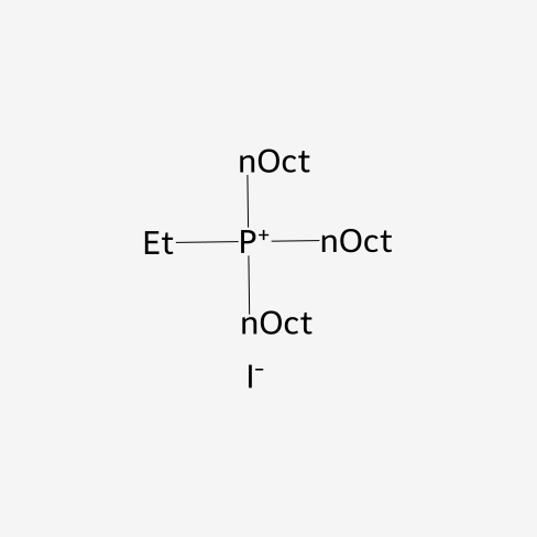 CCCCCCCC[P+](CC)(CCCCCCCC)CCCCCCCC.[I-]